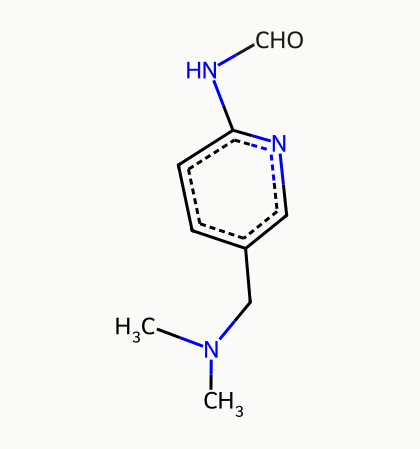 CN(C)Cc1ccc(NC=O)nc1